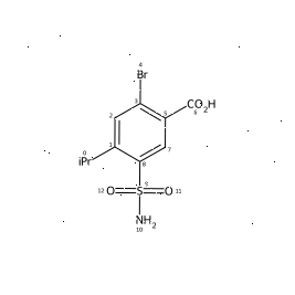 CC(C)c1cc(Br)c(C(=O)O)cc1S(N)(=O)=O